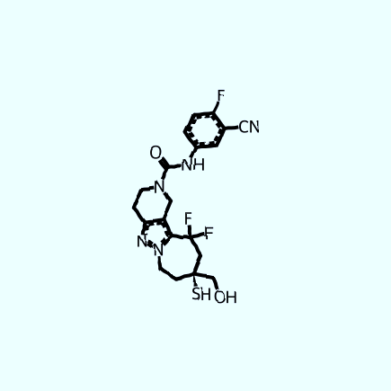 N#Cc1cc(NC(=O)N2CCc3nn4c(c3C2)C(F)(F)C[C@](S)(CO)CC4)ccc1F